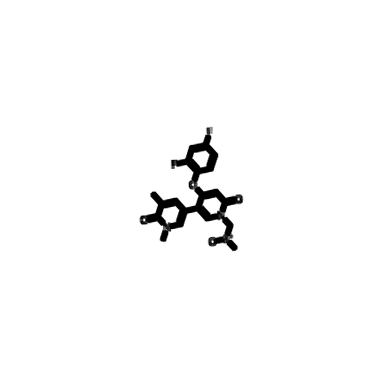 Cc1cc(-c2cn(C[S+](C)[O-])c(=O)cc2Oc2ccc(F)cc2F)cn(C)c1=O